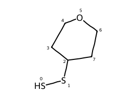 SSC1CCOCC1